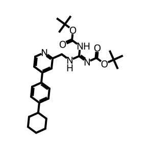 CC(C)(C)OC(=O)/N=C(/NCc1cc(-c2ccc(C3CCCCC3)cc2)ccn1)NC(=O)OC(C)(C)C